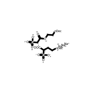 CCCCCCCCCCCCC(C(=O)[O-])S(=O)(=O)[O-].CCCCCCCCCCCCOC(=O)CS(=O)(=O)[O-].[Na+].[Na+].[Na+]